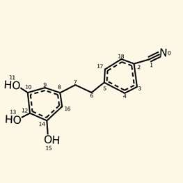 N#Cc1ccc(CCc2cc(O)c(O)c(O)c2)cc1